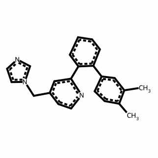 Cc1ccc(-c2ccccc2-c2cc(Cn3ccnc3)ccn2)cc1C